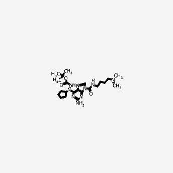 CN(C)CCCCNC(=O)n1cnc2c(N(NC(=O)OC(C)(C)C)C3CCCC3)nc(N)nc21